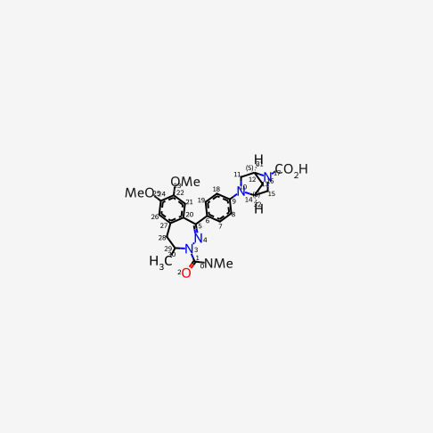 CNC(=O)N1N=C(c2ccc(N3C[C@@H]4C[C@H]3CN4C(=O)O)cc2)c2cc(OC)c(OC)cc2CC1C